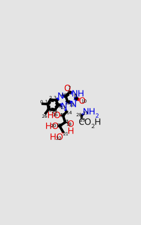 Cc1cc2nc3c(=O)[nH]c(=O)nc-3n(C[C@H](O)[C@H](O)[C@H](O)CO)c2cc1C.NCC(=O)O